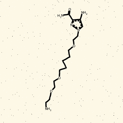 NCCOCCOCCCCCOCCn1cc(N)c(C(N)=O)n1